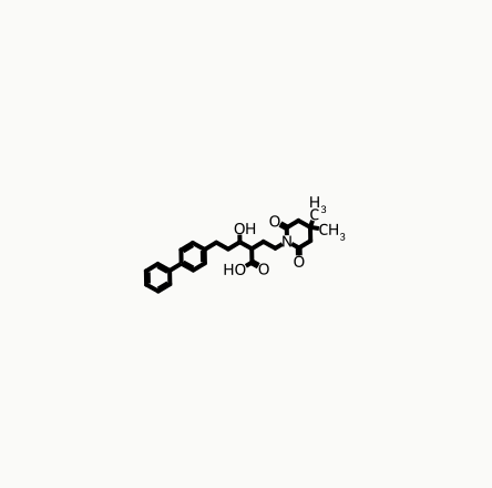 CC1(C)CC(=O)N(CCC(C(=O)O)C(O)CCc2ccc(-c3ccccc3)cc2)C(=O)C1